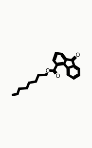 CCCCCCCCOC(=O)c1cccc2c1-c1ccccc1C2=O